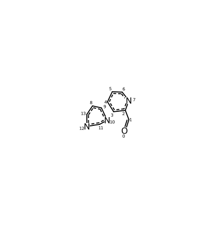 O=Cc1ccccn1.c1cncnc1